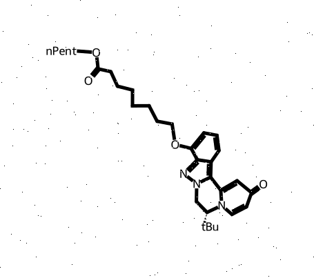 CCCCCOC(=O)CCCCCCCOc1cccc2c3n(nc12)C[C@@H](C(C)(C)C)n1ccc(=O)cc1-3